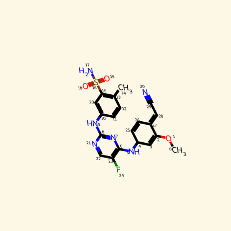 COC1=CC(Nc2nc(Nc3ccc(C)c(S(N)(=O)=O)c3)ncc2F)C=C/C1=C\C#N